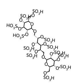 O=S(=O)(O)OC[C@H]1O[C@@H](OC[C@H](OS(=O)(=O)O)[C@@H](OS(=O)(=O)O)[C@@H](OS(=O)(=O)O)[C@@H](CO[C@@H]2O[C@H](COS(=O)(=O)O)[C@@H](OS(=O)(=O)O)[C@H](OS(=O)(=O)O)[C@H]2OS(=O)(=O)O)OS(=O)(=O)O)[C@H](OS(=O)(=O)O)[C@@H](OS(=O)(=O)O)[C@@H]1OS(=O)(=O)O